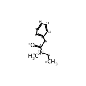 CCN(C)C(=O)Cc1ccccc1